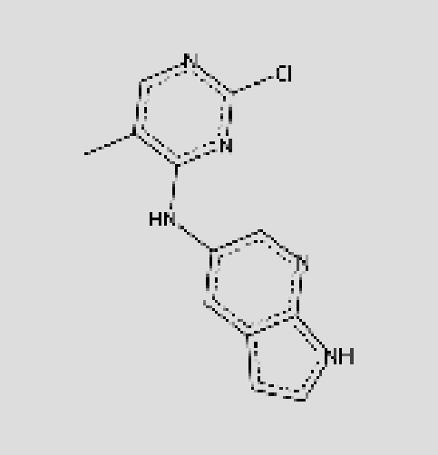 Cc1cnc(Cl)nc1Nc1cnc2[nH]ccc2c1